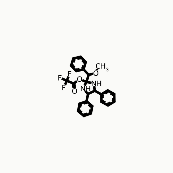 COC(c1ccccc1)C1(OC(=O)C(F)(F)F)NC(c2ccccc2)C(c2ccccc2)N1